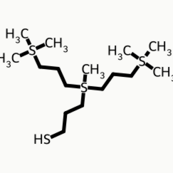 CS(C)(C)CCCS(C)(CCCS)CCCS(C)(C)C